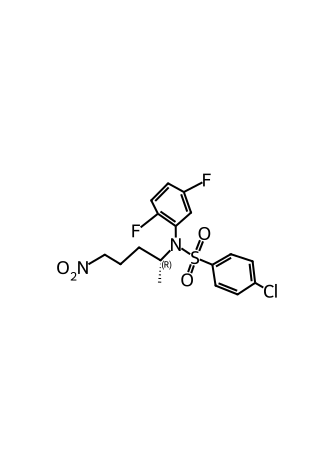 C[C@H](CCC[N+](=O)[O-])N(c1cc(F)ccc1F)S(=O)(=O)c1ccc(Cl)cc1